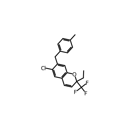 CCC1(C(F)(F)F)C=Cc2cc(Cl)c(Cc3ccc(C)cc3)cc2O1